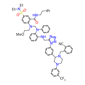 CCN(CC)S(=O)(=O)c1ccc(N(CCOC)CN(c2ccccc2)c2ccccc2NCc2nnnn2-c2cccc(C3CN(c4cccc(C(F)(F)F)c4)CCN3Cc3ccccc3C#N)c2)c(C(=O)NCCC(C)C)c1